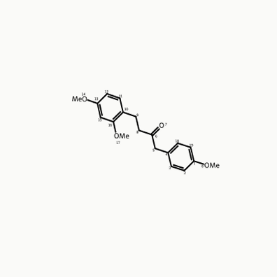 COc1ccc(CC(=O)CCc2ccc(OC)cc2OC)cc1